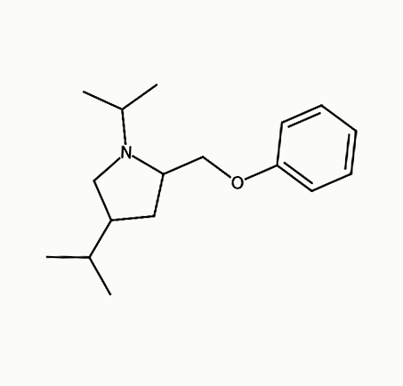 CC(C)C1CC(COc2ccccc2)N(C(C)C)C1